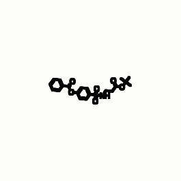 CC(C)(C)OC(=O)CCNS(=O)(=O)c1ccc(OC(=O)c2ccccc2)cc1